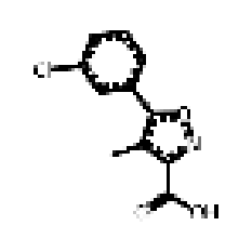 Cc1c(C(=O)O)noc1-c1cccc(Cl)c1